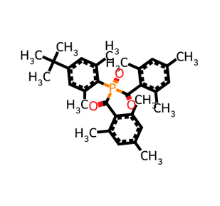 Cc1cc(C)c(C(=O)P(=O)(C(=O)c2c(C)cc(C)cc2C)c2c(C)cc(C(C)(C)C)cc2C)c(C)c1